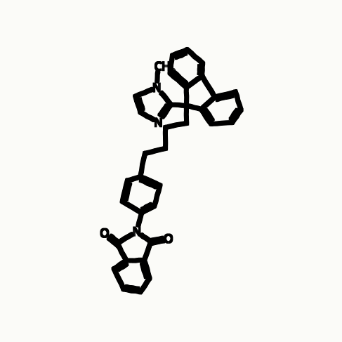 Cn1ccnc1C1(CCCCc2ccc(N3C(=O)c4ccccc4C3=O)cc2)c2ccccc2-c2ccccc21